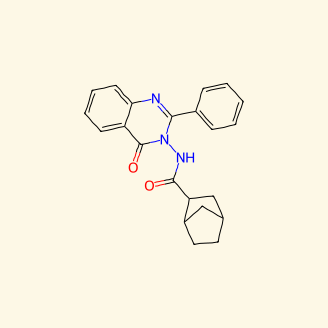 O=C(Nn1c(-c2ccccc2)nc2ccccc2c1=O)C1CC2CCC1C2